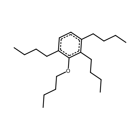 CCCCOc1c(CCCC)ccc(CCCC)c1CCCC